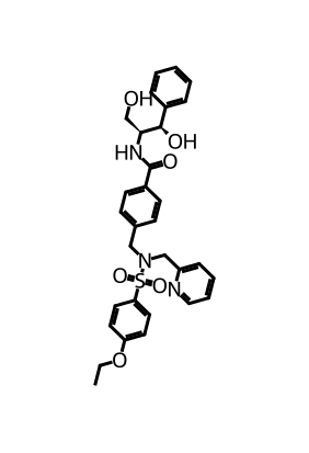 CCOc1ccc(S(=O)(=O)N(Cc2ccc(C(=O)N[C@@H](CO)[C@H](O)c3ccccc3)cc2)Cc2ccccn2)cc1